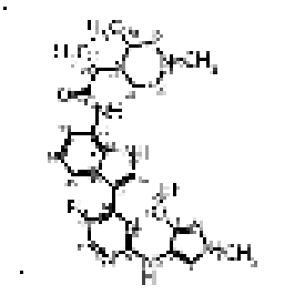 CCOc1nn(C)cc1Nc1ncc(F)c(-c2c[nH]c3c(NC(=O)[C@@H](C)N4CCN(C)C[C@@H]4C)cccc23)n1